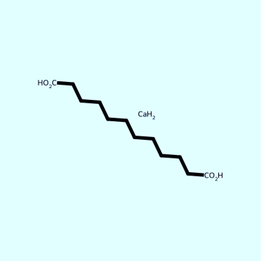 O=C(O)CCCCCCCCCCC(=O)O.[CaH2]